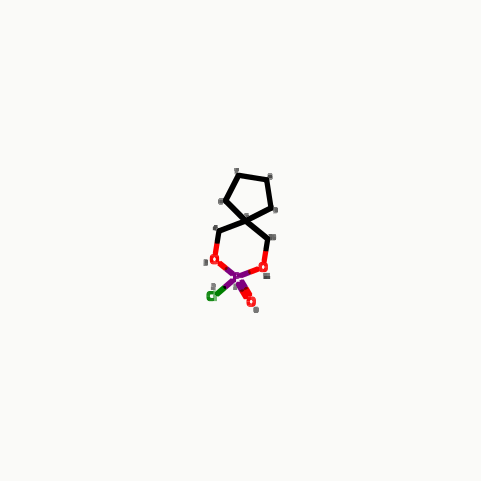 O=P1(Cl)OCC2(CCCC2)CO1